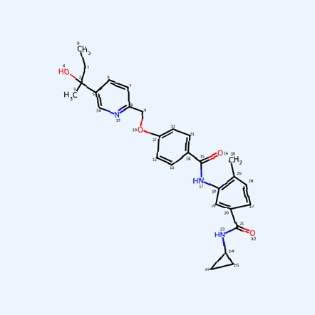 CCC(C)(O)c1ccc(COc2ccc(C(=O)Nc3cc(C(=O)NC4CC4)ccc3C)cc2)nc1